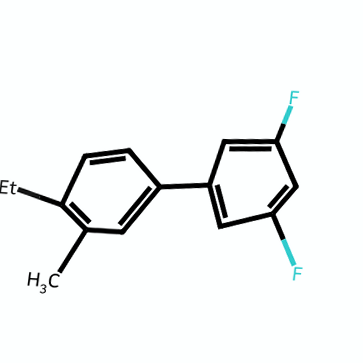 CCc1ccc(-c2cc(F)cc(F)c2)cc1C